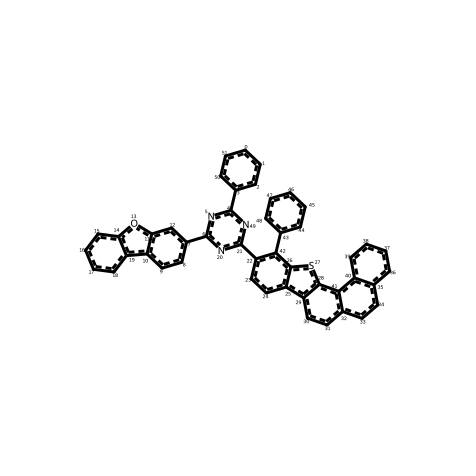 c1ccc(-c2nc(-c3ccc4c(c3)oc3ccccc34)nc(-c3ccc4c(sc5c4ccc4ccc6ccccc6c45)c3-c3ccccc3)n2)cc1